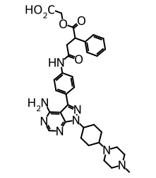 CN1CCN(C2CCC(n3nc(-c4ccc(NC(=O)CC(C(=O)OCC(=O)O)c5ccccc5)cc4)c4c(N)ncnc43)CC2)CC1